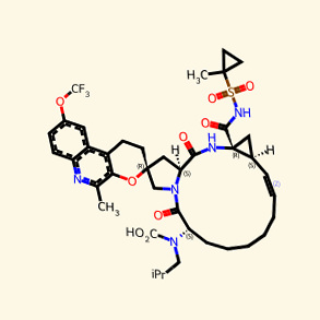 Cc1nc2ccc(OC(F)(F)F)cc2c2c1O[C@]1(CC2)C[C@H]2C(=O)N[C@]3(C(=O)NS(=O)(=O)C4(C)CC4)C[C@H]3/C=C\CCCCC[C@H](N(CC(C)C)C(=O)O)C(=O)N2C1